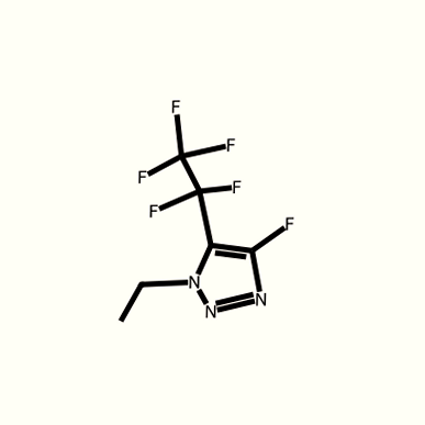 CCn1nnc(F)c1C(F)(F)C(F)(F)F